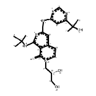 CC(C)(C)Nc1nc(Nc2cc(C(C)(C)O)ncn2)cc2ccn(C[C@H](O)CO)c(=O)c12